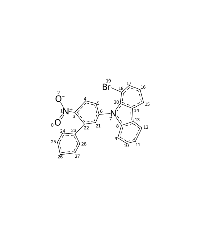 O=[N+]([O-])c1ccc(-n2c3ccccc3c3cccc(Br)c32)cc1-c1ccccc1